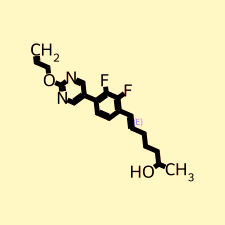 C=CCOc1ncc(-c2ccc(/C=C/CCCC(C)O)c(F)c2F)cn1